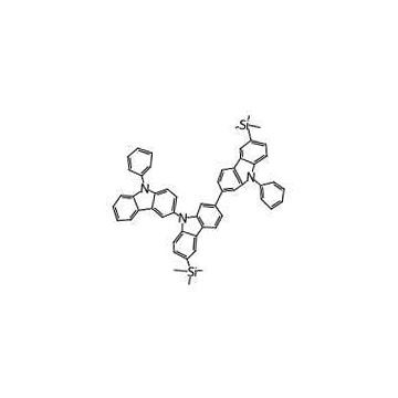 C[Si](C)(C)c1ccc2c(c1)c1ccc(-c3ccc4c5cc([Si](C)(C)C)ccc5n(-c5ccc6c(c5)c5ccccc5n6-c5ccccc5)c4c3)cc1n2-c1ccccc1